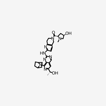 C[C@@H](O)c1cc2cnc(Nc3ccc4c(n3)CCN(C(=O)[C@H]3C[C@@H](O)CN3C)C4)nc2c(N2C3CCC2CC3)n1